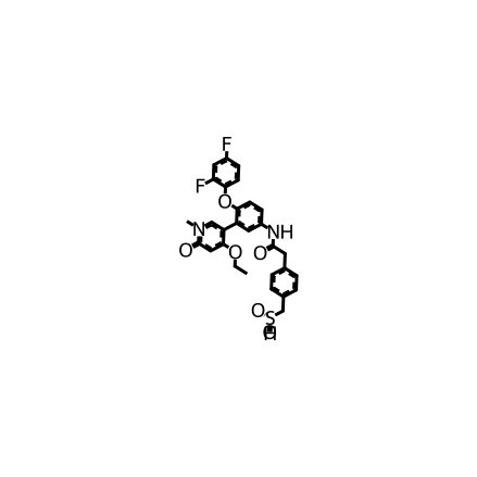 CCOc1cc(=O)n(C)cc1-c1cc(NC(=O)Cc2ccc(C[SH](=O)=O)cc2)ccc1Oc1ccc(F)cc1F